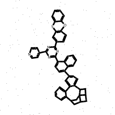 c1ccc2c(c1)Oc1ccc(-c3nc(-c4ccncc4)nc(-c4ccc(-c5ccc6c(c5)-c5ccccc5C5CC7CC8CC6C78C5)c5ccccc45)n3)cc1S2